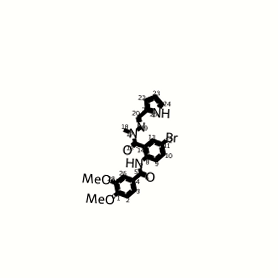 COc1ccc(C(=O)Nc2ccc(Br)cc2C(=O)N(C)N=Cc2ccc[nH]2)cc1OC